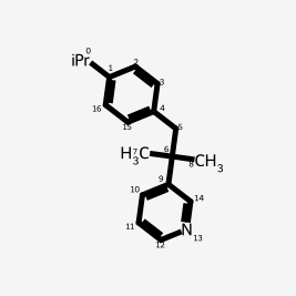 CC(C)c1ccc(CC(C)(C)c2cccnc2)cc1